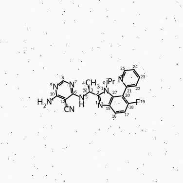 CC(C)n1c([C@H](C)Nc2ncnc(N)c2C#N)nc2ccc(F)c(-c3ccccn3)c21